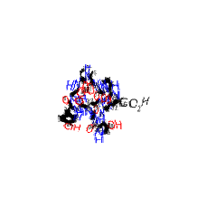 CC(C)C[C@H](NC(=O)CNC(=O)[C@H](Cc1ccc(O)cc1)NC(=O)[C@H](CCC(N)=O)NC(=O)CNC(=O)[C@@H]1C[C@@H](O)CN1)C(=O)N[C@@H](C)C(=O)NCC(=O)N1CCC[C@H]1C(=O)N[C@@H](CCCCN)C(=O)O